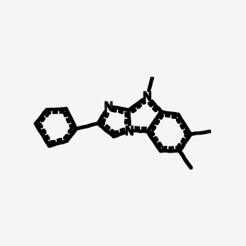 Cc1cc2c(cc1C)n1cc(-c3ccccc3)nc1n2C